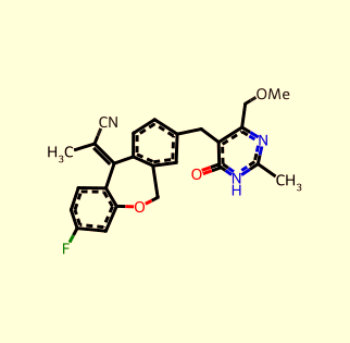 COCc1nc(C)[nH]c(=O)c1Cc1ccc2c(c1)COc1cc(F)ccc1C2=C(C)C#N